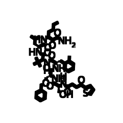 CCCCC(NC(=O)[C@H](CC(C)C)NC(=O)[C@@H](NC(=O)[C@H](Cc1ccccc1C)NC(=O)[C@@H](COCc1ccccc1)NC(=O)[C@H](CO)NC(=O)CCC(=O)c1cccs1)C(C)(C)C)C(=O)C(N)=O